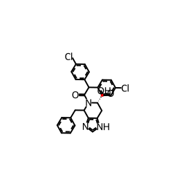 O=C(O)[C@@H]1Cc2[nH]cnc2C(Cc2ccccc2)N1C(=O)C(c1ccc(Cl)cc1)c1ccc(Cl)cc1